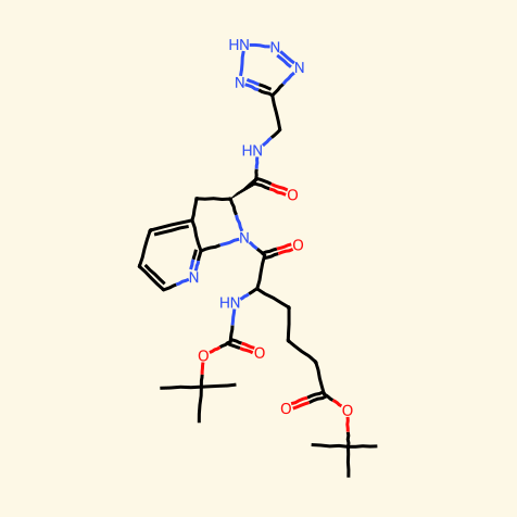 CC(C)(C)OC(=O)CCCC(NC(=O)OC(C)(C)C)C(=O)N1c2ncccc2C[C@H]1C(=O)NCc1nn[nH]n1